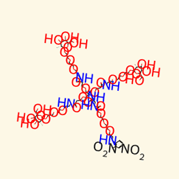 C[C@H]1[C@H](OCCOCCOCCNC(=O)CCOCC(COCCC(=O)NCCOCCOCCO[C@@H]2O[C@H](CO)[C@H](O)[C@H](O)[C@H]2C)(COCCC(=O)NCCOCCOCCO[C@@H]2O[C@H](CO)[C@H](O)[C@H](O)[C@H]2C)NC(=O)CNC(=O)COCCOCCOCCNc2ccc([N+](=O)[O-])cc2[N+](=O)[O-])O[C@H](CO)[C@H](O)[C@@H]1O